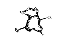 Fc1cc(Br)c2nonc2c1Cl